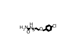 NC(=O)NSCCOCc1ccc(Cl)cc1